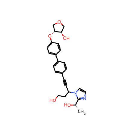 C[C@H](O)c1nccn1C(C#Cc1ccc(-c2ccc(O[C@@H]3COC[C@H]3O)cc2)cc1)CCO